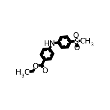 CCOC(=O)c1ccc(Nc2ccc(S(C)(=O)=O)cc2)cc1